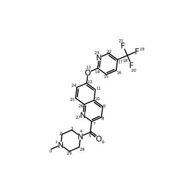 CN1CCN(C(=O)c2ccc3cc(Oc4ccc(C(F)(F)F)cn4)ccc3n2)CC1